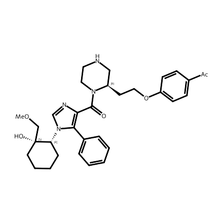 COC[C@]1(O)CCCC[C@H]1n1cnc(C(=O)N2CCNC[C@H]2CCOc2ccc(C(C)=O)cc2)c1-c1ccccc1